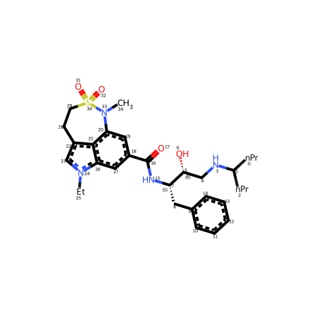 CCCC(CCC)NC[C@@H](O)[C@H](Cc1ccccc1)NC(=O)c1cc2c3c(cn(CC)c3c1)CCS(=O)(=O)N2C